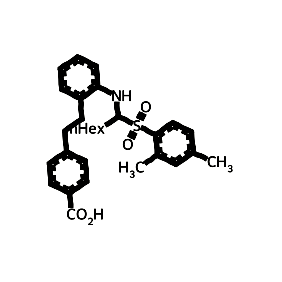 CCCCCCC(Nc1ccccc1CCc1ccc(C(=O)O)cc1)S(=O)(=O)c1ccc(C)cc1C